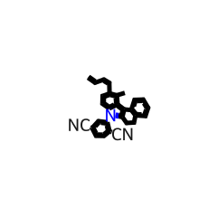 C=C/C=C\c1ccc2c(c1C)c1c(n2-c2cc(C#N)ccc2C#N)CCc2ccccc2-1